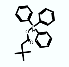 CC(C)(C)CC(=O)O[PH](c1ccccc1)(c1ccccc1)c1ccccc1